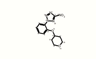 O=[N+]([O-])c1nnn(-c2ccccc2OC2CCOCC2)n1